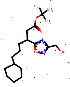 CC(C)(C)OC(=O)CC(CCCC1CCCCC1)c1nc(CO)no1